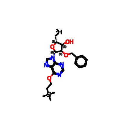 [2H]C[C@H]1O[C@@H](n2cnc3c(OCC[Si](C)(C)C)ncnc32)[C@H](OCc2ccccc2)[C@@H]1O